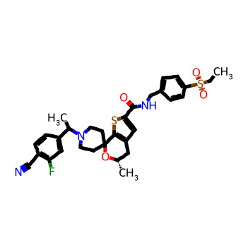 CCS(=O)(=O)c1ccc(CNC(=O)c2cc3c(s2)C2(CCN(C(C)c4ccc(C#N)c(F)c4)CC2)O[C@@H](C)C3)cc1